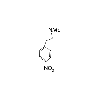 [CH2]NCCc1ccc([N+](=O)[O-])cc1